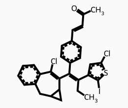 CC/C(=C(\C1=C(Cl)c2ccccc2CC2CC12)c1ccc(/C=C/C(C)=O)cc1)c1cc(Cl)sc1I